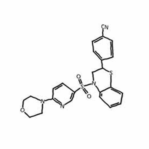 N#Cc1ccc(C2CN(S(=O)(=O)c3ccc(N4CCOCC4)nc3)c3ccccc3S2)cc1